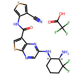 N#Cc1cscc1NC(=O)c1csc2ncc(N[C@@H]3CCCC(F)(F)[C@@H]3N)nc12.O=C(O)C(F)(F)F